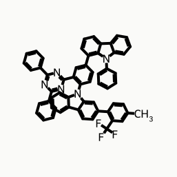 Cc1ccc(-c2ccc3c4ccccc4n(-c4ccc(-c5cccc6c7ccccc7n(-c7ccccc7)c56)cc4-c4nc(-c5ccccc5)nc(-c5ccccc5)n4)c3c2)c(C(F)(F)F)c1